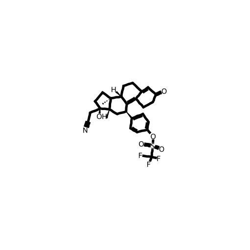 C[C@]12C[C@H](c3ccc(OS(=O)(=O)C(F)(F)F)cc3)C3=C4CCC(=O)C=C4CC[C@H]3[C@]1(C)CC[C@@]2(O)CC#N